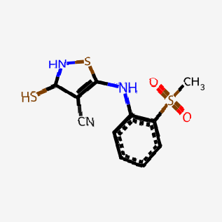 CS(=O)(=O)c1ccccc1NC1=C(C#N)C(S)NS1